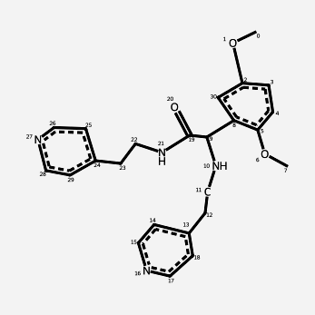 COc1ccc(OC)c(C(NCCc2ccncc2)C(=O)NCCc2ccncc2)c1